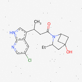 CCC1CC2(O)CC(C2)N1C(=O)CC(C)c1c[nH]c2ncc(Cl)cc12